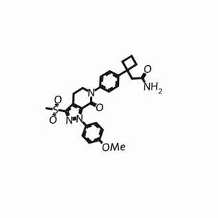 COc1ccc(-n2nc(S(C)(=O)=O)c3c2C(=O)N(c2ccc(C4(CC(N)=O)CCC4)cc2)CC3)cc1